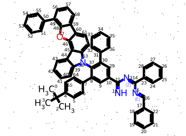 CC(C)(C)c1ccc(-c2cc(C(=N)/N=C(\N=C\c3ccccc3)c3ccccc3)cc(-c3ccccc3)c2-n2c3ccccc3c3c4oc5c(-c6ccccc6)cccc5c4ccc32)cc1